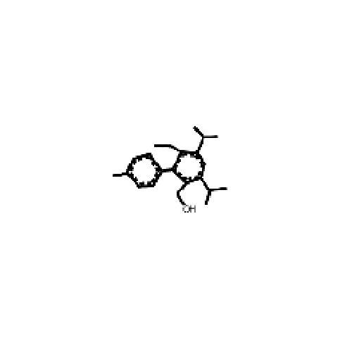 CCc1c(C(C)C)cc(C(C)C)c(CO)c1-c1ccc(C)cc1